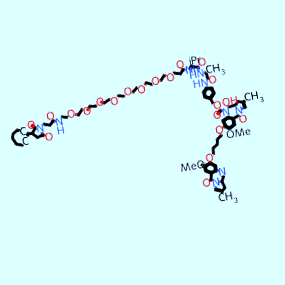 COc1cc2c(cc1OCCCCCOc1cc3c(cc1OC)C(=O)N1C=C(C)CC1C(O)N3C(=O)OCc1ccc(NC(=O)C(C)NC(=O)[C@@H](NC(=O)CCOCCOCCOCCOCCOCCOCCOCCOCCNC(=O)CCN3C(=O)CC(C4CCCCCCC4)C3=O)C(C)C)cc1)N=CC1CC(C)=CN1C2=O